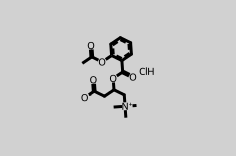 CC(=O)Oc1ccccc1C(=O)OC(CC(=O)[O-])C[N+](C)(C)C.Cl